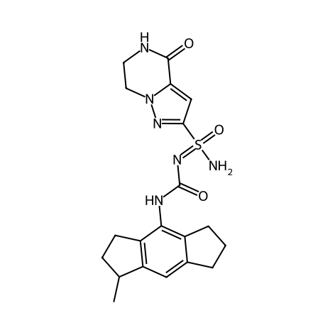 CC1CCc2c1cc1c(c2NC(=O)N=S(N)(=O)c2cc3n(n2)CCNC3=O)CCC1